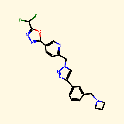 FC(F)c1nnc(-c2ccc(Cn3cc(-c4cccc(CN5CCC5)c4)nn3)nc2)o1